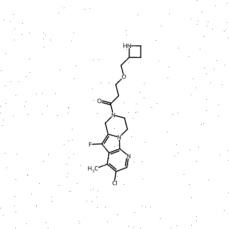 Cc1c(Cl)cnc2c1c(F)c1n2CCN(C(=O)CCOCC2CCN2)C1